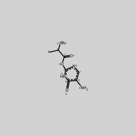 CC(C(=O)Oc1ncc(N)c(=O)[nH]1)C(C)(C)C